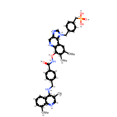 COc1cc2c(ncc3ncn(Cc4ccc(CP(=O)(O)O)cc4)c32)c(ONC(=O)c2ccc(CNc3c(C#N)cnc4c(OC)cccc34)cc2)c1OC